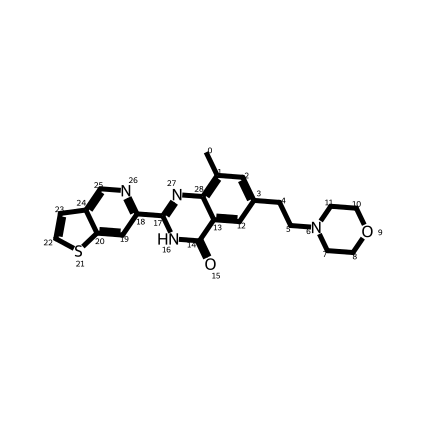 Cc1cc(CCN2CCOCC2)cc2c(=O)[nH]c(-c3cc4sccc4cn3)nc12